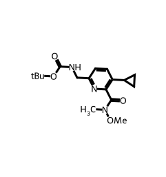 CON(C)C(=O)c1nc(CNC(=O)OC(C)(C)C)ccc1C1CC1